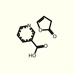 O=C(O)c1cccnc1.O=C1CC=CO1